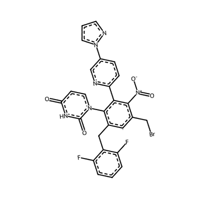 O=c1ccn(-c2c(Cc3c(F)cccc3F)[c]c(CBr)c([N+](=O)[O-])c2-c2ccc(-n3cccn3)cn2)c(=O)[nH]1